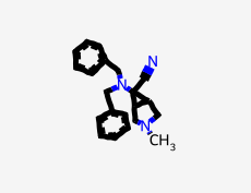 CN1CC2C(C1)C2(C#N)N(Cc1ccccc1)Cc1ccccc1